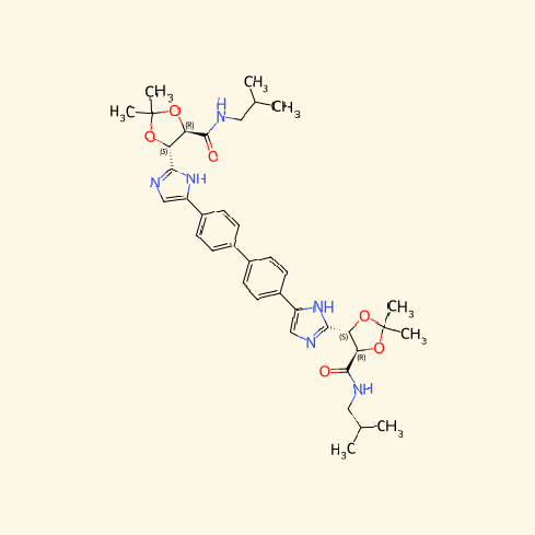 CC(C)CNC(=O)[C@@H]1OC(C)(C)O[C@H]1c1ncc(-c2ccc(-c3ccc(-c4cnc([C@@H]5OC(C)(C)O[C@H]5C(=O)NCC(C)C)[nH]4)cc3)cc2)[nH]1